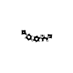 Cc1c(C(=O)N2CCC2)nnn1-c1ccc(OC2CCN(C3CCC3)CC2)cc1